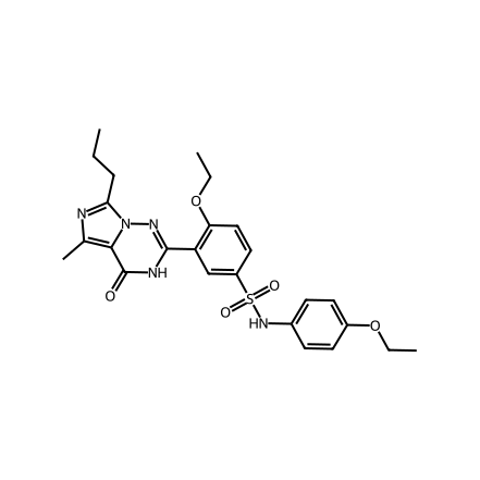 CCCc1nc(C)c2c(=O)[nH]c(-c3cc(S(=O)(=O)Nc4ccc(OCC)cc4)ccc3OCC)nn12